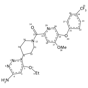 CCOc1cc(N)nnc1C1CCN(C(=O)c2cc(OC)c(Oc3ccc(C(F)(F)F)cc3)cn2)CC1